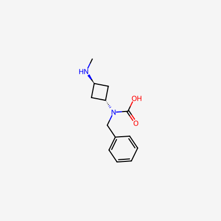 CN[C@H]1C[C@H](N(Cc2ccccc2)C(=O)O)C1